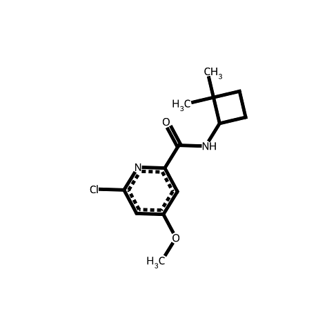 COc1cc(Cl)nc(C(=O)NC2CCC2(C)C)c1